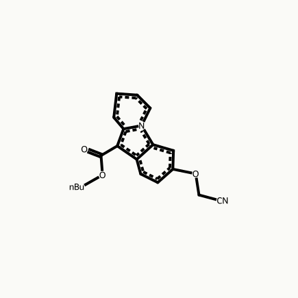 CCCCOC(=O)c1c2ccc(OCC#N)cc2n2ccccc12